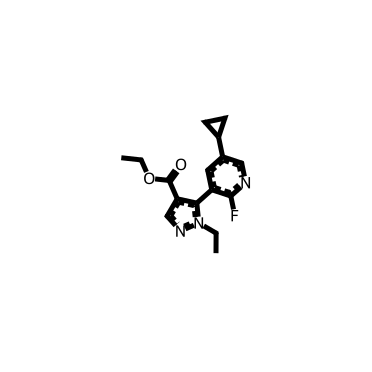 CCOC(=O)c1cnn(CC)c1-c1cc(C2CC2)cnc1F